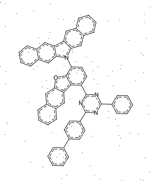 c1ccc(-c2ccc(-c3nc(-c4ccccc4)nc(-c4ccc(-n5c6cc7ccccc7cc6c6cc7ccccc7cc65)c5oc6cc7ccccc7cc6c45)n3)cc2)cc1